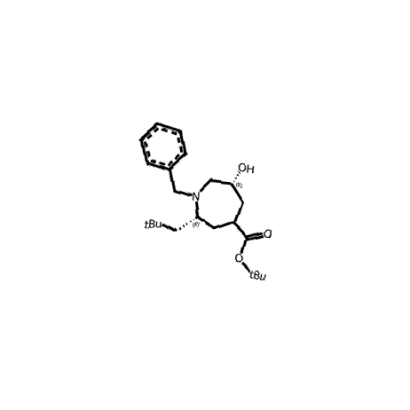 CC(C)(C)C[C@H]1CC(C(=O)OC(C)(C)C)C[C@@H](O)CN1Cc1ccccc1